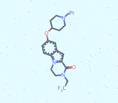 CC(C)N1CCC(Oc2ccc3c(c2)cc2n3CCN(CC(F)(F)F)C2=O)CC1